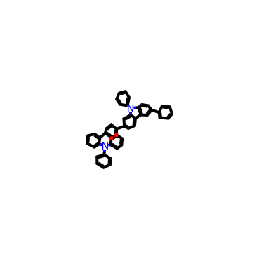 c1ccc(-c2ccc3c(c2)c2ccc(-c4ccc(-c5ccccc5N(c5ccccc5)c5ccccc5)cc4)cc2n3-c2ccccc2)cc1